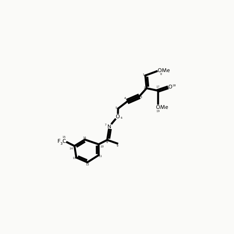 COC=C(C#CCON=C(C)c1cccc(C(F)(F)F)c1)C(=O)OC